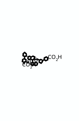 O=C(O)c1ccc(-c2cccc(COc3ccc4ccccc4c3-c3c(OCc4cc(-c5ccccc5)ccc4C(=O)O)ccc4ccccc34)c2)cc1